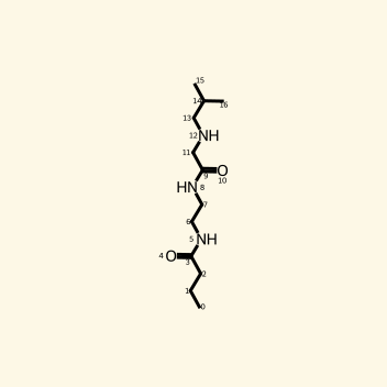 CCCC(=O)NCCNC(=O)CNCC(C)C